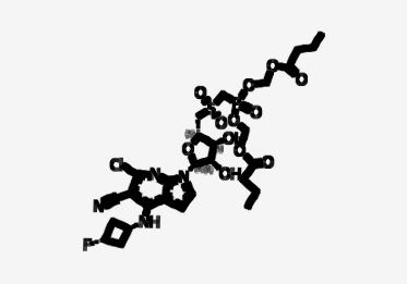 CCCC(=O)OCOP(=O)(CS(=O)(=O)C[C@H]1O[C@@H](n2ccc3c(N[C@H]4C[C@@H](F)C4)c(C#N)c(Cl)nc32)[C@H](O)[C@@H]1O)OCOC(=O)CCC